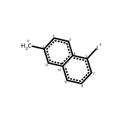 [CH2]c1ccc2c(I)cccc2c1